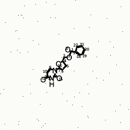 O=C(OCC1CCC(n2ccc(=O)[nH]c2=O)O1)c1ccccc1